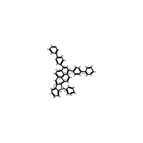 c1ccc(-c2ccc(-c3cc(-c4ccc(-c5ccccc5)cc4)c4ccc5c6c(ccc3c46)cc3c4ccccc4n(-c4ccccc4)c35)cc2)cc1